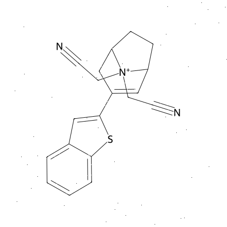 N#CC[N+]1(CC#N)C2C=C(c3cc4ccccc4s3)CC1CC2